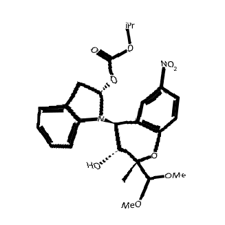 COC(OC)[C@@]1(C)Oc2ccc([N+](=O)[O-])cc2[C@H](N2c3ccccc3C[C@@H]2OC(=O)OC(C)C)[C@H]1O